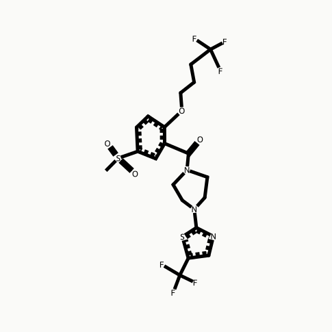 CS(=O)(=O)c1ccc(OCCCC(F)(F)F)c(C(=O)N2CCN(c3ncc(C(F)(F)F)s3)CC2)c1